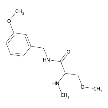 CNC(COC)C(=O)NCc1cccc(OC)c1